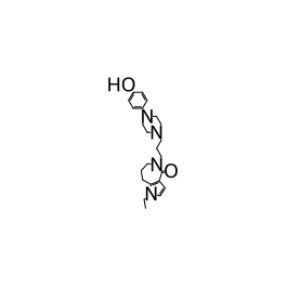 CCn1ccc2c1CCCN(CCCN1CCN(c3ccc(O)cc3)CC1)C2=O